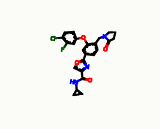 O=C(NC1CC1)c1coc(-c2ccc(CN3CCCC3=O)c(Oc3ccc(Cl)c(F)c3)c2)n1